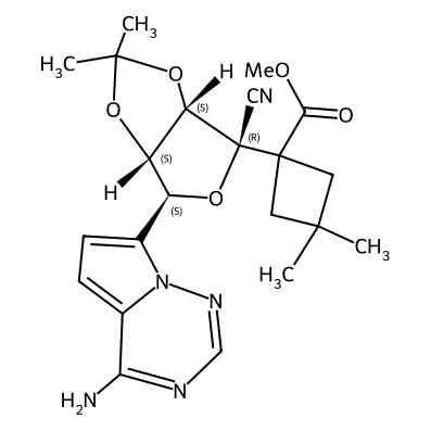 COC(=O)C1([C@]2(C#N)O[C@@H](c3ccc4c(N)ncnn34)[C@@H]3OC(C)(C)O[C@@H]32)CC(C)(C)C1